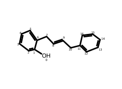 Oc1ccccc1CC=CCc1ccccc1